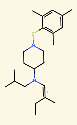 CC/C(C)=C\N(CC(C)C)C1CCN(Sc2c(C)cc(C)cc2C)CC1